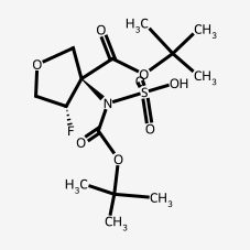 CC(C)(C)OC(=O)N([C@]1(C(=O)OC(C)(C)C)COC[C@H]1F)S(=O)(=O)O